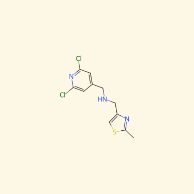 Cc1nc(CNCc2cc(Cl)nc(Cl)c2)cs1